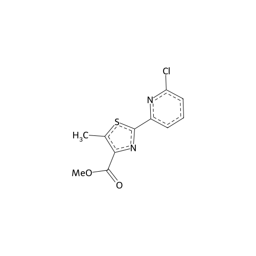 COC(=O)c1nc(-c2cccc(Cl)n2)sc1C